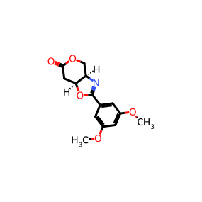 COc1cc(OC)cc(C2=N[C@@H]3COC(=O)C[C@@H]3O2)c1